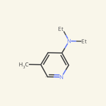 CCN(CC)c1cn[c]c(C)c1